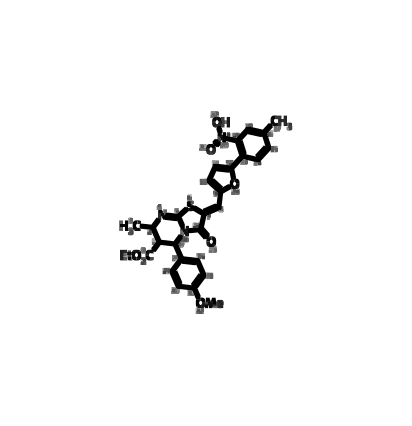 CCOC(=O)C1C(C)N=c2s/c(=C\c3ccc(-c4ccc(C)cc4[N+](=O)O)o3)c(=O)n2C1c1ccc(OC)cc1